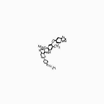 COc1cc(Oc2ccn3ncnc3c2)c(C)cc1Nc1ncnc2cnc(N3CCN(C(=O)O)CC3)nc12